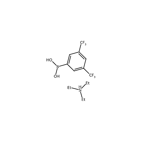 CC[SiH](CC)CC.OB(O)c1cc(C(F)(F)F)cc(C(F)(F)F)c1